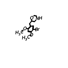 COc1cc(OC)c(CC2CNCCO2)cc1Br